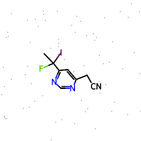 CC(F)(I)c1cc(CC#N)ncn1